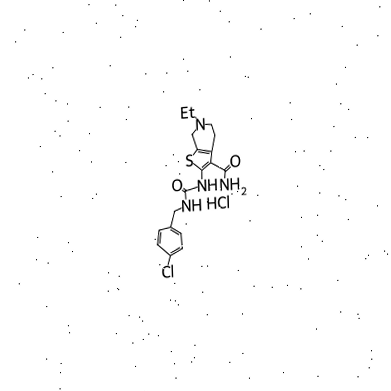 CCN1CCc2c(sc(NC(=O)NCc3ccc(Cl)cc3)c2C(N)=O)C1.Cl